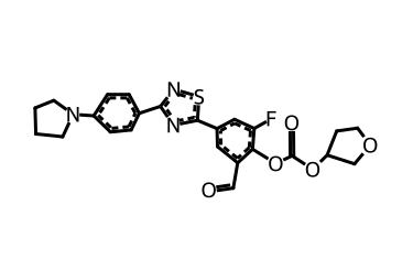 O=Cc1cc(-c2nc(-c3ccc(N4CCCC4)cc3)ns2)cc(F)c1OC(=O)OC1CCOC1